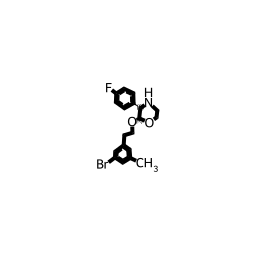 Cc1cc(Br)cc(CCO[C@@H]2OCCN[C@H]2c2ccc(F)cc2)c1